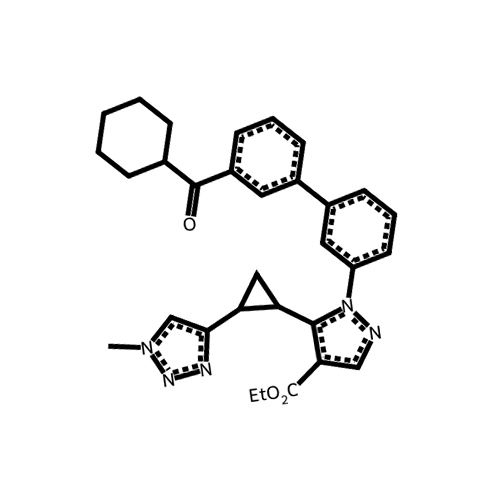 CCOC(=O)c1cnn(-c2cccc(-c3cccc(C(=O)C4CCCCC4)c3)c2)c1C1CC1c1cn(C)nn1